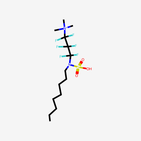 CCCCCCCCN(C(F)(F)C(F)(F)C(F)(F)[N+](C)(C)C)S(=O)(=O)O